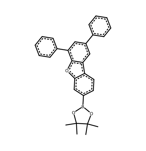 CC1(C)OB(c2ccc3c(c2)oc2c(-c4ccccc4)cc(-c4ccccc4)cc23)OC1(C)C